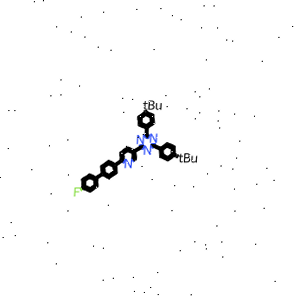 CC(C)(C)c1ccc(-c2nc(-c3ccc(C(C)(C)C)cc3)nc(-c3ccc(-c4ccc(-c5ccc(F)cc5)cc4)nc3)n2)cc1